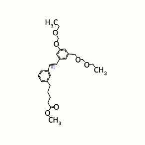 CCOCOCc1cc(/C=C/c2cccc(CCCCC(=O)OC)c2)cc(OCOCC)c1